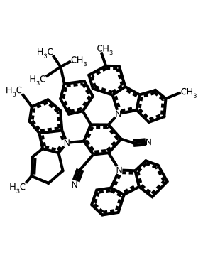 CC1=Cc2c(n(-c3c(C#N)c(-n4c5ccccc5c5ccccc54)c(C#N)c(-n4c5ccc(C)cc5c5cc(C)ccc54)c3-c3ccc(C(C)(C)C)cc3)c3ccc(C)cc23)CC1